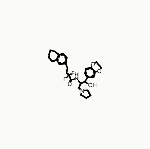 O=C(NC(CN1CCCC1)C(O)c1ccc2c(c1)OCCO2)C(F)(F)CCc1ccc2c(c1)CCCC2